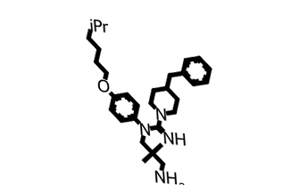 CC(C)CCCCOc1ccc(N(CC(C)(C)CN)C(=N)N2CCC(Cc3ccccc3)CC2)cc1